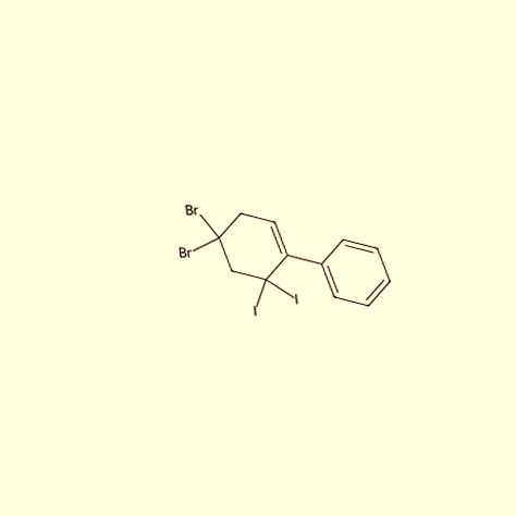 BrC1(Br)CC=C(c2ccccc2)C(I)(I)C1